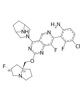 Nc1ccc(Cl)c(F)c1-c1ncc2c(N3CC4CCC(C3)N4)nc(OC[C@@]34CCCN3C[C@H](F)C4)nc2c1F